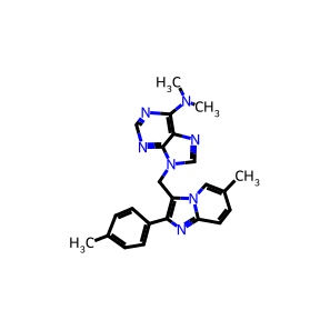 Cc1ccc(-c2nc3ccc(C)cn3c2Cn2cnc3c(N(C)C)ncnc32)cc1